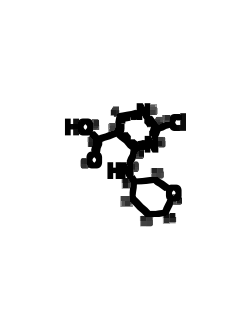 O=C(O)c1cnc(Cl)nc1NC1CCCOC1